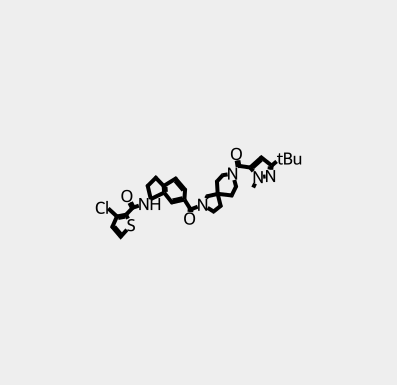 Cn1nc(C(C)(C)C)cc1C(=O)N1CCC2(CCN(C(=O)c3ccc4c(c3)C(NC(=O)c3sccc3Cl)CC4)C2)CC1